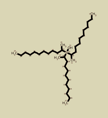 CCCCCCCCCCC(C)[Si](O)(C(C)CCCCCCCCCC)C(C)CCCCCCCCCC